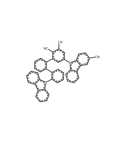 N#Cc1ccc2c(c1)c1ccccc1n2-c1cc(C#N)c(C#N)c(-c2ccccc2-c2ccccc2-n2c3ccccc3c3ccccc32)c1